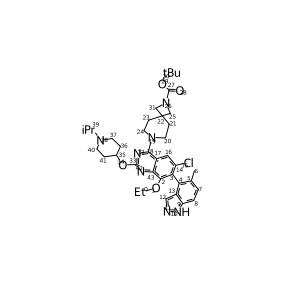 CCOc1c(-c2c(C)ccc3[nH]ncc23)c(Cl)cc2c(N3CCC4(CC3)CN(C(=O)OC(C)(C)C)C4)nc(OC3CCN(C(C)C)CC3)nc12